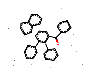 O=C(c1ccccc1)c1cccc(-c2ccccc2)c1-c1ccccc1.c1ccc2ccccc2c1